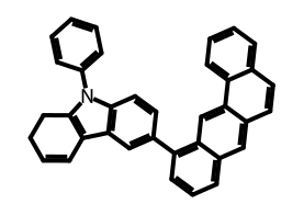 C1=Cc2c(n(-c3ccccc3)c3ccc(-c4cccc5cc6ccc7ccccc7c6cc45)cc23)CC1